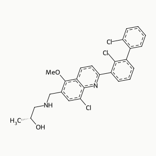 COc1c(CNC[C@@H](C)O)cc(Cl)c2nc(-c3cccc(-c4ccccc4Cl)c3Cl)ccc12